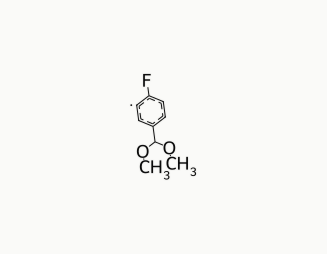 COC(OC)c1c[c]c(F)cc1